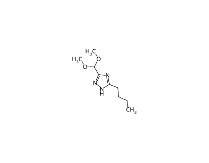 CCCCc1nc(C(OC)OC)n[nH]1